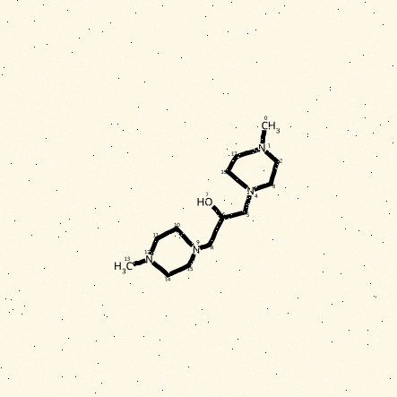 CN1CCN(CC(O)CN2CCN(C)CC2)CC1